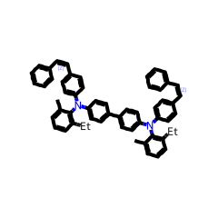 CCc1cccc(C)c1N(c1ccc(/C=C\c2ccccc2)cc1)c1ccc(-c2ccc(N(c3ccc(/C=C\c4ccccc4)cc3)c3c(C)cccc3CC)cc2)cc1